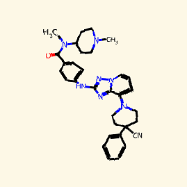 CN1CCC(N(C)C(=O)c2ccc(Nc3nc4c(N5CCC(C#N)(c6ccccc6)CC5)cccn4n3)cc2)CC1